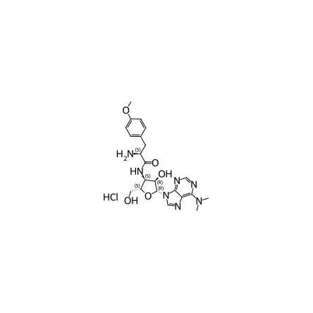 COc1ccc(C[C@H](N)C(=O)N[C@H]2[C@@H](O)[C@H](n3cnc4c(N(C)C)ncnc43)O[C@@H]2CO)cc1.Cl